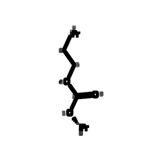 [CH2][C@@H](C)OC(=O)OCCC(C)C